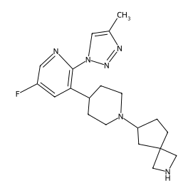 Cc1cn(-c2ncc(F)cc2C2CCN(C3CCC4(CNC4)C3)CC2)nn1